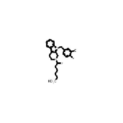 O=C(O)CCCCC(=O)N1CCc2c(n(Cc3ccc(F)c(Cl)c3)c3ccccc23)C1